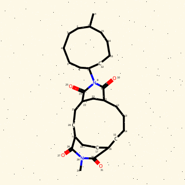 CC1CCCCCC(N2C(=O)C3CCCCC4CCC(CCC(C3)C2=O)C(=O)N(C)C4=O)CCCC1